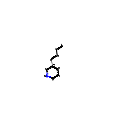 C=CC=Cc1cccnc1